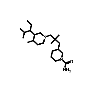 CCC(C(C)C)C1CN(CC(C)(C)CC2CCCN(C(N)=O)C2)CCC1C